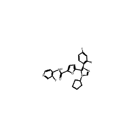 O=C(Nc1ccncc1F)c1ccc(-c2c(-c3ccc(F)cc3F)ncn2C2CCCC2)o1